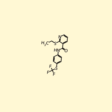 CCSc1ncccc1C(=O)Nc1ccc(SC(F)(F)F)cc1